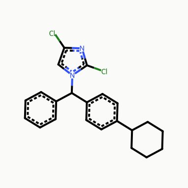 Clc1cn(C(c2ccccc2)c2ccc(C3CCCCC3)cc2)c(Cl)n1